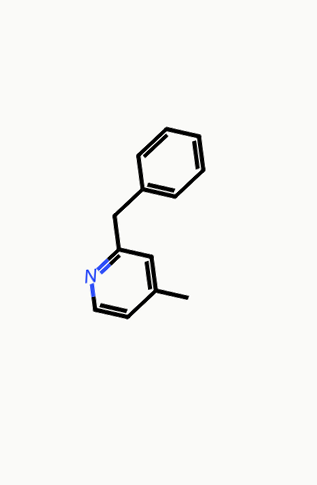 Cc1ccnc(Cc2ccccc2)c1